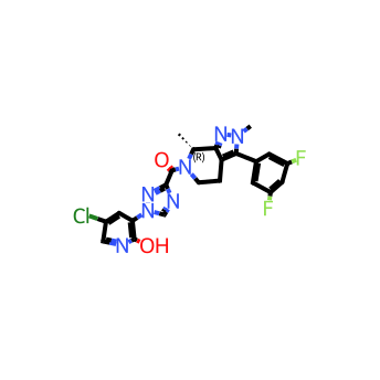 C[C@@H]1c2nn(C)c(-c3cc(F)cc(F)c3)c2CCN1C(=O)c1ncn(-c2cc(Cl)cnc2O)n1